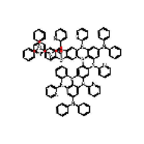 c1ccc(N(c2ccccc2)c2cc3c4c(c2)N(c2ccccn2)c2cc5c(cc2B4c2ccccc2N3c2ccccn2)B2c3cc4c(cc3N(c3ccccn3)c3cc(N(c6ccccc6)c6ccccc6)cc(c32)N5c2ccccn2)N(c2ccccn2)c2cc(N(c3ccccc3)c3ccccc3)cc3c2B4c2ccccc2N3c2ccccn2)cc1